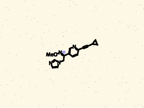 CO/N=C(\Cn1ccnc1)c1ccc(C#CC2CC2)nc1